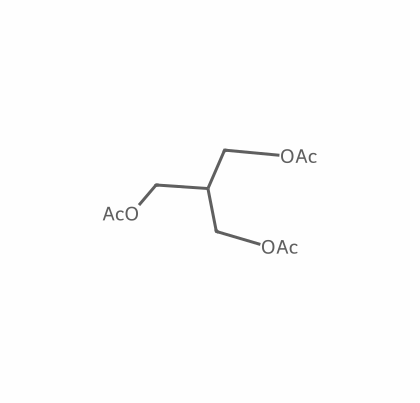 CC(=O)OCC(COC(C)=O)COC(C)=O